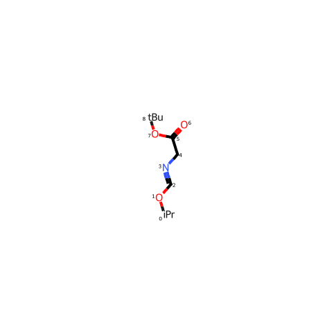 CC(C)OC=NCC(=O)OC(C)(C)C